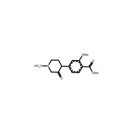 COC(=O)c1ccc(C2CCN(C(=O)O)CC2=O)cc1OC